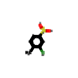 Cc1ccc([SH](=O)=O)cc1Cl